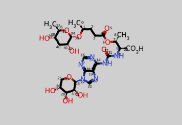 C[C@@H](CCC(=O)O[C@H](C)[C@H](NC(=O)Nc1ncnc2c1ncn2[C@@H]1OC[C@@H](O)[C@H](O)[C@@H]1O)C(=O)O)O[C@H]1O[C@H](C)[C@@H](O)C[C@H]1O